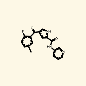 Cc1ccc(F)c(C(=O)c2c[nH]c(C(=O)Nc3cccnc3)c2)c1